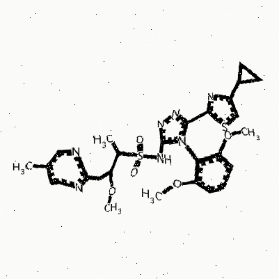 COc1cccc(OC)c1-n1c(NS(=O)(=O)C(C)C(OC)c2ncc(C)cn2)nnc1-c1nc(C2CC2)cs1